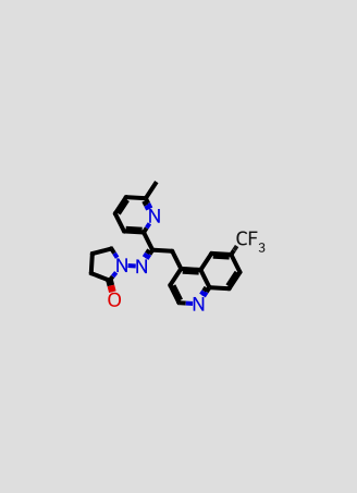 Cc1cccc(C(Cc2ccnc3ccc(C(F)(F)F)cc23)=NN2CCCC2=O)n1